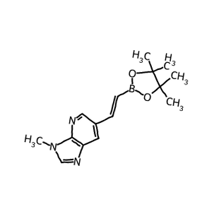 Cn1cnc2cc(/C=C/B3OC(C)(C)C(C)(C)O3)cnc21